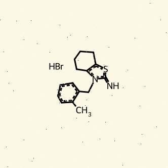 Br.Cc1ccccc1Cn1c2c(sc1=N)CCCC2